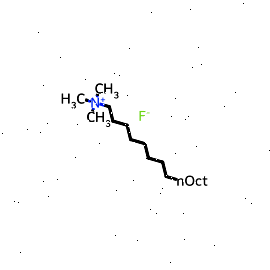 CCCCCCCCCCCCCCCC[N+](C)(C)C.[F-]